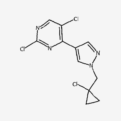 Clc1ncc(Cl)c(-c2cnn(CC3(Cl)CC3)c2)n1